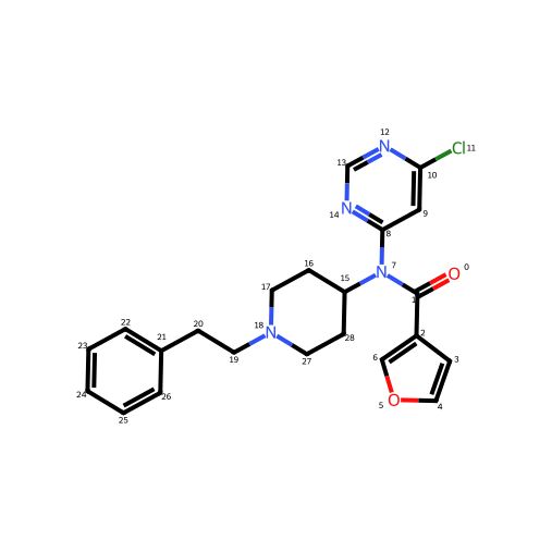 O=C(c1ccoc1)N(c1cc(Cl)ncn1)C1CCN(CCc2ccccc2)CC1